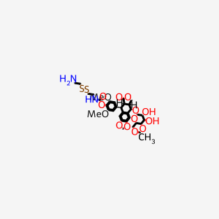 COc1cc([C@@H]2c3cc4c(cc3[C@@H](OC3OC5COC(C)OC5C(O)C3O)[C@H]3COC(=O)[C@H]23)OCO4)cc(OC)c1OC(=O)NCCSSCCN